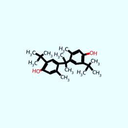 Cc1cc(O)c(C(C)(C)C)cc1C(C)(C)c1cc(C(C)(C)C)c(O)cc1C